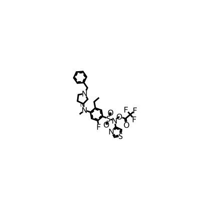 CCc1cc(S(=O)(=O)N(OC(=O)C(F)(F)F)c2cscn2)c(F)cc1N(C)[C@H]1CCN(Cc2ccccc2)C1